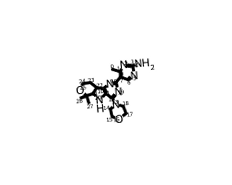 Cc1nc(N)ncc1-c1nc2c(c(N3CCOCC3)n1)NC1C2CCOC1(C)C